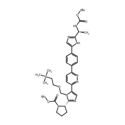 C[C@H](NC(=O)OC(C)(C)C)c1ncc(-c2ccc(-c3ccc(-c4cnc([C@@H]5CCCN5C(=O)OC(C)(C)C)n4COCC[Si](C)(C)C)nn3)cc2)[nH]1